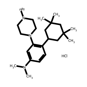 CCCN1CCN(c2cc(N(C)C)ccc2C2CC(C)(C)CC(C)(C)C2)CC1.Cl